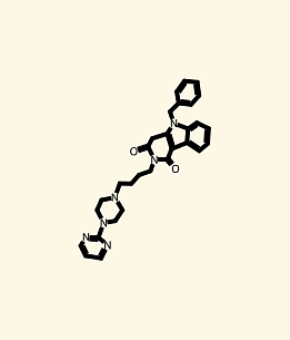 O=C1Cc2c(c3ccccc3n2Cc2ccccc2)C(=O)N1CCCCN1CCN(c2ncccn2)CC1